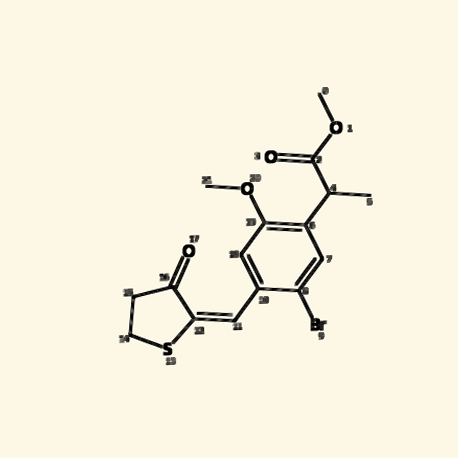 COC(=O)C(C)c1cc(Br)c(/C=C2/SCCC2=O)cc1OC